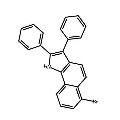 Brc1cccc2c1ccc1c(-c3ccccc3)c(-c3ccccc3)[nH]c12